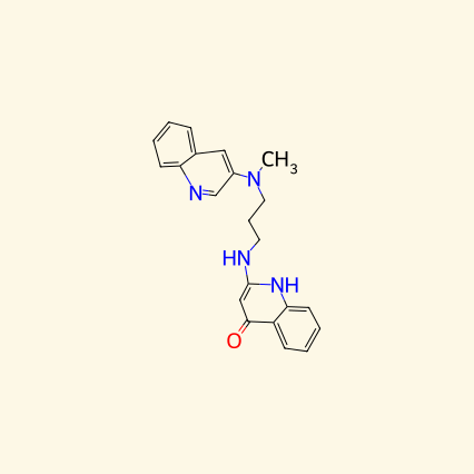 CN(CCCNc1cc(=O)c2ccccc2[nH]1)c1cnc2ccccc2c1